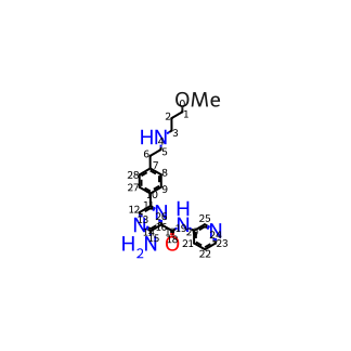 COCCCNCCc1ccc(-c2cnc(N)c(C(=O)Nc3cccnc3)n2)cc1